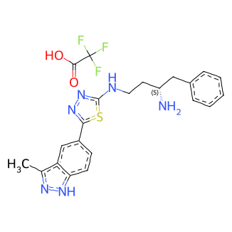 Cc1n[nH]c2ccc(-c3nnc(NCC[C@@H](N)Cc4ccccc4)s3)cc12.O=C(O)C(F)(F)F